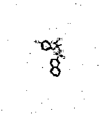 CC(Cc1ccc(O)cc1)(NS(=O)(=O)c1ccc2ccccc2c1)C(=O)O